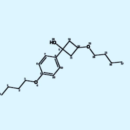 CCCCOc1ccc(C2(O)CC(OCCCC)C2)cc1